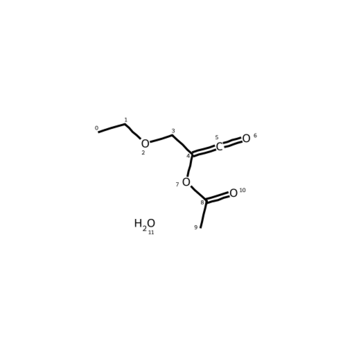 CCOCC(=C=O)OC(C)=O.O